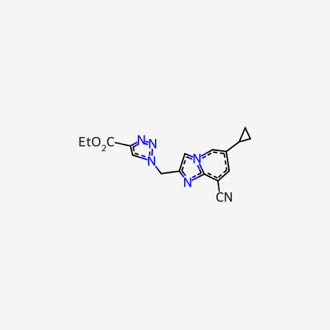 CCOC(=O)c1cn(Cc2cn3cc(C4CC4)cc(C#N)c3n2)nn1